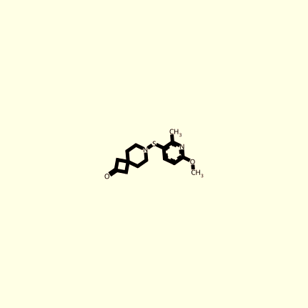 COc1ccc(SN2CCC3(CC2)CC(=O)C3)c(C)n1